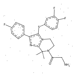 CC1(C)c2nc(-c3ccc(F)cc3)c(Sc3ccc(F)c(F)c3)n2CCN1C(=O)CN